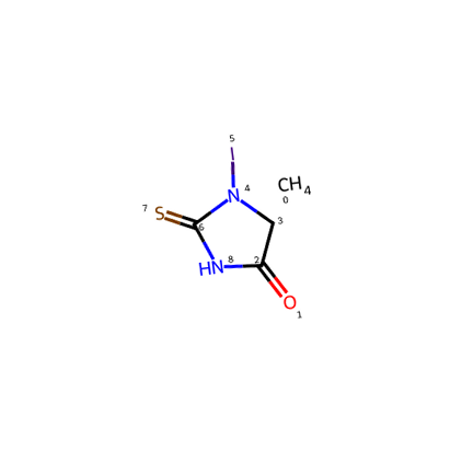 C.O=C1CN(I)C(=S)N1